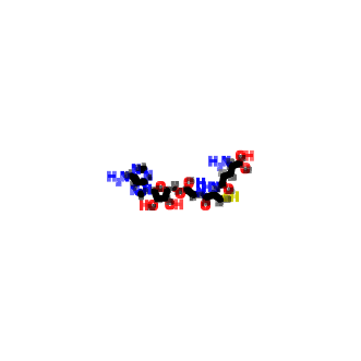 Nc1ncnc2c1ncn2[C@@H]1O[C@H](COC(=O)CNC(=O)C(CS)NC(=O)CCC(N)C(=O)O)[C@@H](O)[C@H]1O